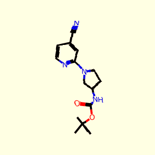 CC(C)(C)OC(=O)NC1CCN(c2cc(C#N)ccn2)C1